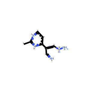 Cc1nccc(/C(C=N)=C/NN)n1